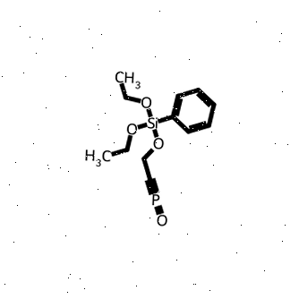 CCO[Si](OCC)(OCC#P=O)c1ccccc1